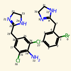 Brc1ccccc1CC1=NCCN1.Nc1c(Cl)cc(CC2=NCCN2)cc1Cl